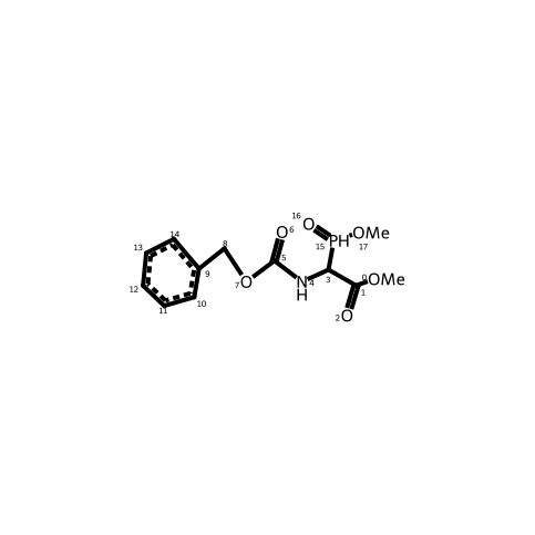 COC(=O)C(NC(=O)OCc1ccccc1)[PH](=O)OC